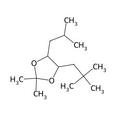 CC(C)CC1OC(C)(C)OC1CC(C)(C)C